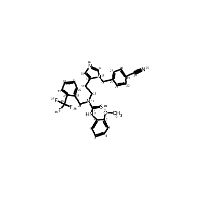 COc1ccccc1NC(=S)N(CCc1cncn1Cc1ccc(C#N)cc1)Cc1ccccc1C(F)(F)F